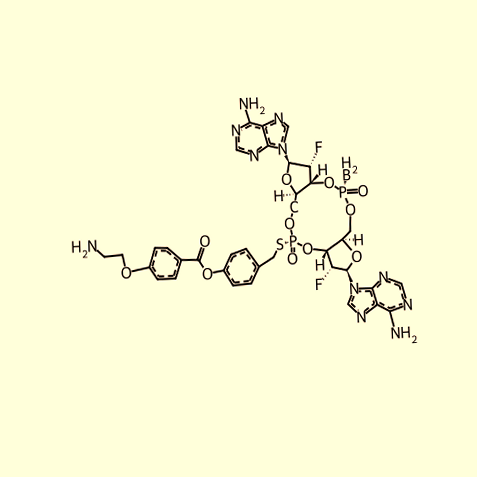 B[P@]1(=O)OC[C@H]2O[C@@H](n3cnc4c(N)ncnc43)[C@H](F)[C@@H]2O[P@](=O)(SCc2ccc(OC(=O)c3ccc(OCCN)cc3)cc2)OC[C@H]2O[C@@H](n3cnc4c(N)ncnc43)[C@H](F)[C@@H]2O1